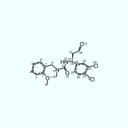 COc1ccccc1CN(C)C(=O)N[C@@H](CC=O)c1ccc(Cl)c(Cl)c1